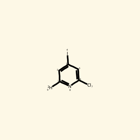 [2H]c1cc(I)cc(Cl)n1